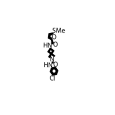 CSc1ccc(C(=O)NC2CC3(C2)CN(C2Nc4cc(Cl)ccc4O2)C3)o1